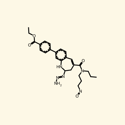 CCCN(CCCN=O)C(=O)C1=Cc2ccc(-c3ccc(C(=O)OCC)cc3)cc2NC(N=NN)C1